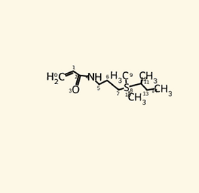 C=CC(=O)NCCCS(C)(C)C(C)CC